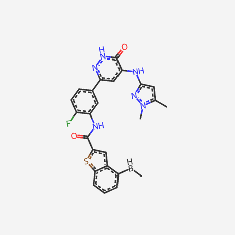 CBc1cccc2sc(C(=O)Nc3cc(-c4cc(Nc5cc(C)n(C)n5)c(=O)[nH]n4)ccc3F)cc12